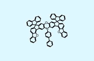 c1ccc(-c2ccc(N3c4cc5c(cc4Oc4cc6c(cc43)-c3c(ccc4c3oc3ccccc34)C63c4ccccc4-c4ccccc43)C3(c4ccccc4-c4ccccc43)c3ccc4c(oc6ccccc64)c3-5)cc2)cc1